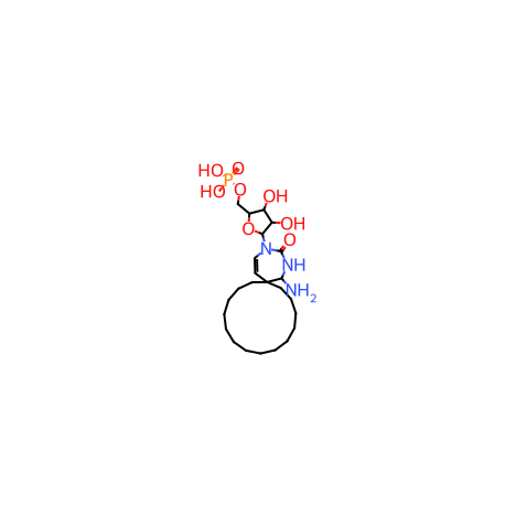 NC1NC(=O)N(C2OC(COP(=O)(O)O)C(O)C2O)C=CC12CCCCCCCCCCCCCC2